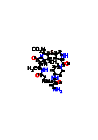 CNCC(=O)N[C@H](C)[C@H]1C(=O)N2C(C(=O)O)=C(S[C@@H]3CN[C@H](C(=O)N4CCC(NC(=O)CN)CC4)C3)[C@H](C)[C@H]12